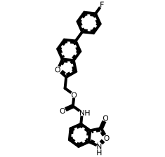 O=C(Nc1cccc2[nH]oc(=O)c12)OCc1cc2cc(-c3ccc(F)cc3)ccc2o1